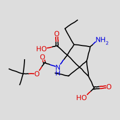 CCC1C(N)C2C(C(=O)O)C2(CC)C1(NC(=O)OC(C)(C)C)C(=O)O